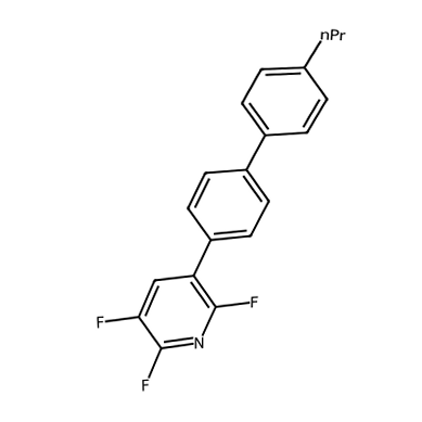 CCCc1ccc(-c2ccc(-c3cc(F)c(F)nc3F)cc2)cc1